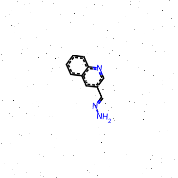 NN=Cc1cnc2ccccc2c1